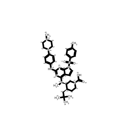 Cc1ccc(S(=O)(=O)n2ccc3c(N(C)[C@H]4CN(C(=O)O)CC[C@H]4CC(C)(C)C)nc(Nc4ccc(N5CCN(C)CC5)cc4)nc32)cc1